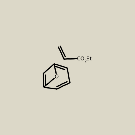 C=CC(=O)OCC.c1cc2cc(c1)O2